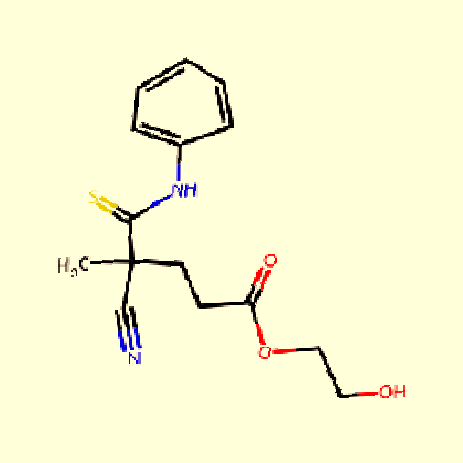 CC(C#N)(CCC(=O)OCCO)C(=S)Nc1ccccc1